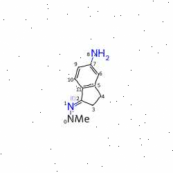 CN/N=C1\CCc2cc(N)ccc21